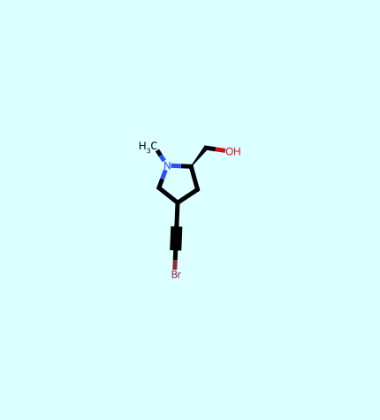 CN1CC(C#CBr)C[C@@H]1CO